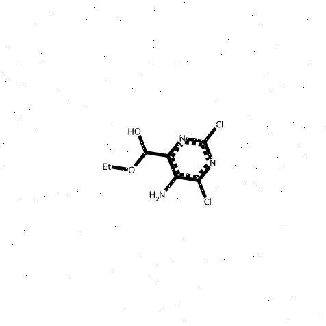 CCOC(O)c1nc(Cl)nc(Cl)c1N